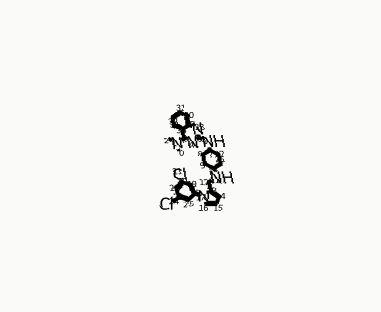 CN(C)c1nc(NC2CCC(NCc3cccn3-c3cc(Cl)cc(Cl)c3)CC2)nc2ccccc12